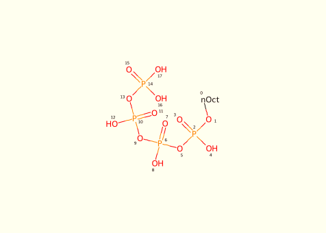 CCCCCCCCOP(=O)(O)OP(=O)(O)OP(=O)(O)OP(=O)(O)O